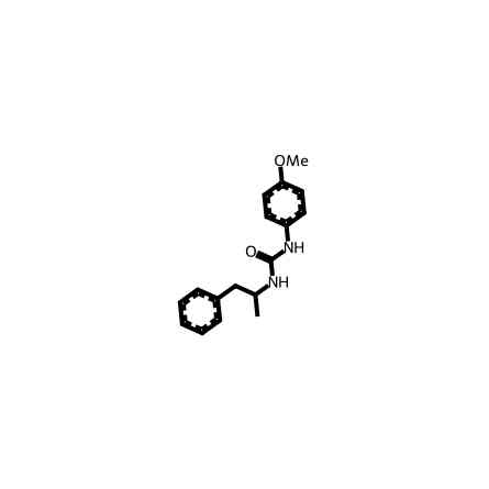 COc1ccc(NC(=O)NC(C)Cc2ccccc2)cc1